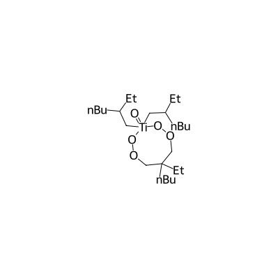 CCCCC(CC)[CH2][Ti]1(=[O])([CH2]C(CC)CCCC)[O]OCC(CC)(CCCC)CO[O]1